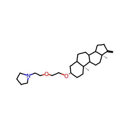 C=C1CCC2C3CCC4C[C@@H](OCCOCCN5CCCC5)CC[C@]4(C)C3CC[C@]12C